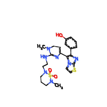 CN1CC=C(c2c(-c3cccc(O)c3)nc3sccn23)N=C1NCCN1CCCN(C)S1(=O)=O